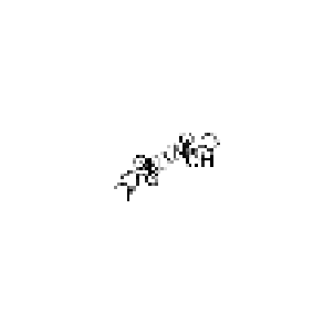 Cc1ccc(S(=O)(=O)N2CC3=C(CN(C(=O)[C@H](O)c4ccccc4)C3)C2)cc1F